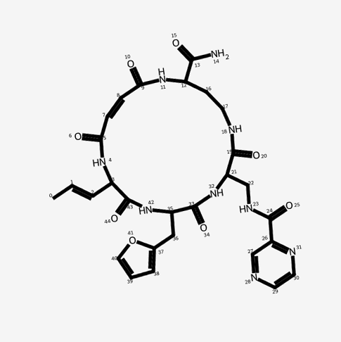 C/C=C/C1NC(=O)/C=C\C(=O)NC(C(N)=O)CCNC(=O)C(CNC(=O)c2cnccn2)NC(=O)C(Cc2ccco2)NC1=O